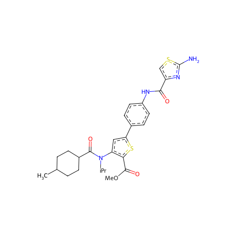 COC(=O)c1sc(-c2ccc(NC(=O)c3csc(N)n3)cc2)cc1N(C(=O)C1CCC(C)CC1)C(C)C